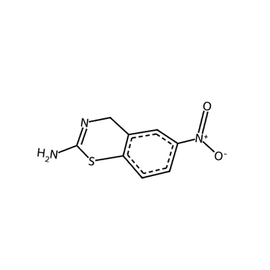 NC1=NCc2cc([N+](=O)[O-])ccc2S1